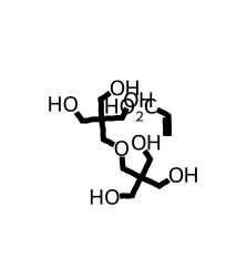 C=CC(=O)O.OCC(CO)(CO)COCC(CO)(CO)CO